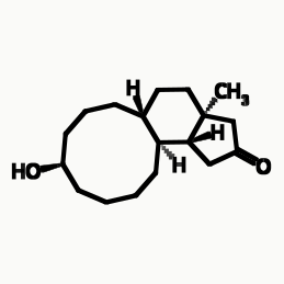 C[C@@]12CC[C@H]3CCC[C@H](O)CCCC[C@@H]3[C@H]1CC(=O)C2